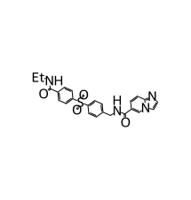 CCNC(=O)c1ccc(S(=O)(=O)c2ccc(CNC(=O)c3ccc4nccn4c3)cc2)cc1